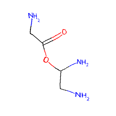 NCC(=O)OC(N)CN